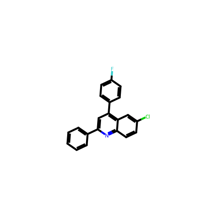 Fc1ccc(-c2cc(-c3ccccc3)nc3ccc(Cl)cc23)cc1